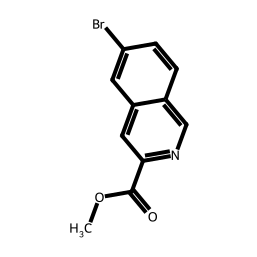 COC(=O)c1cc2cc(Br)ccc2cn1